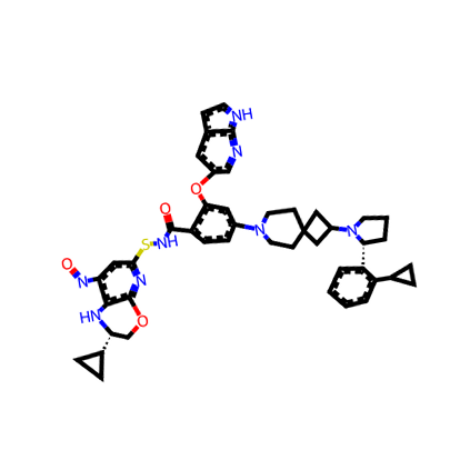 O=Nc1cc(SNC(=O)c2ccc(N3CCC4(CC3)CC(N3CCC[C@@H]3c3ccccc3C3CC3)C4)cc2Oc2cnc3[nH]ccc3c2)nc2c1N[C@@H](C1CC1)CO2